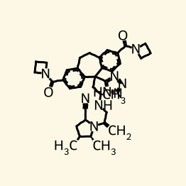 C=C(CN[C@@H](C)CC1(c2nnn[nH]2)c2ccc(C(=O)N3CCC3)cc2CCc2cc(C(=O)N3CCC3)ccc21)N1C(C#N)CC(C)[C@@H]1C